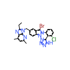 CCc1nc2c(C)cc(C)nc2n1Cc1ccc2nn(-c3cccc(Cl)c3-c3nnn[nH]3)c(Br)c2c1